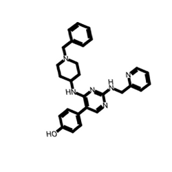 Oc1ccc(-c2cnc(NCc3ccccn3)nc2NC2CCN(Cc3ccccc3)CC2)cc1